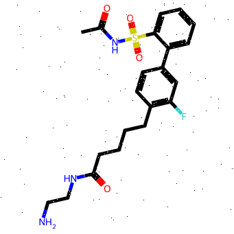 CC(=O)NS(=O)(=O)c1ccccc1-c1ccc(CCCCC(=O)NCCN)c(F)c1